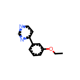 CCOc1cccc(-c2ccn[c]n2)c1